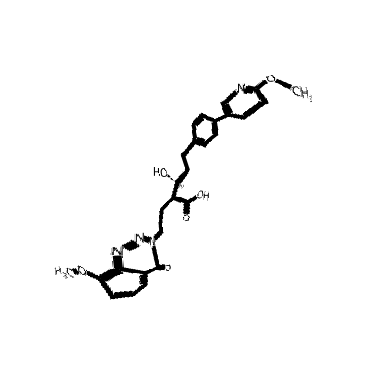 COc1ccc(-c2ccc(CC[C@@H](O)C(CCn3nnc4c(OC)cccc4c3=O)C(=O)O)cc2)cn1